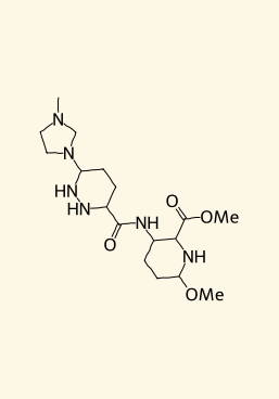 COC(=O)C1NC(OC)CCC1NC(=O)C1CCC(N2CCN(C)C2)NN1